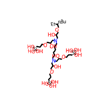 CCCCC(CC)COCC(O)CN(CCCCCCN(CC(O)COCCC[Si](O)(O)O)CC(O)COCCC[Si](O)(O)O)CC(O)COCCC[Si](O)(O)O